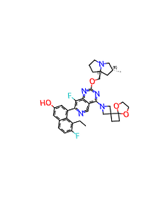 CCc1c(F)ccc2cc(O)cc(-c3ncc4c(N5CC6(CCC67OCCO7)C5)nc(OC[C@@]56CCCN5C[C@H](C)C6)nc4c3F)c12